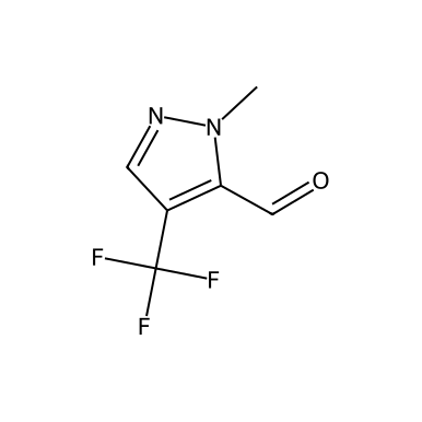 Cn1ncc(C(F)(F)F)c1C=O